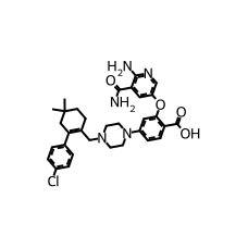 CC1(C)CCC(CN2CCN(c3ccc(C(=O)O)c(Oc4cnc(N)c(C(N)=O)c4)c3)CC2)=C(c2ccc(Cl)cc2)C1